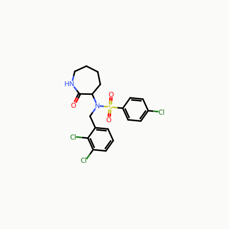 O=C1NCCCCC1N(Cc1cccc(Cl)c1Cl)S(=O)(=O)c1ccc(Cl)cc1